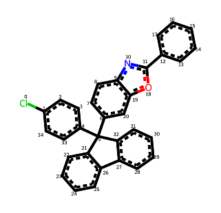 Clc1ccc(C2(c3ccc4nc(-c5ccccc5)oc4c3)c3ccccc3-c3ccccc32)cc1